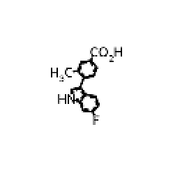 Cc1cc(C(=O)O)ccc1-c1c[nH]c2cc(F)ccc12